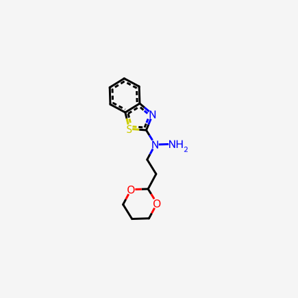 NN(CCC1OCCCO1)c1nc2ccccc2s1